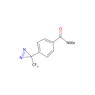 CNC(=O)c1ccc(C2(C(F)(F)F)N=N2)cc1